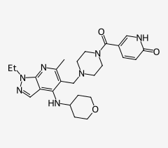 CCn1ncc2c(NC3CCOCC3)c(CN3CCN(C(=O)c4ccc(=O)[nH]c4)CC3)c(C)nc21